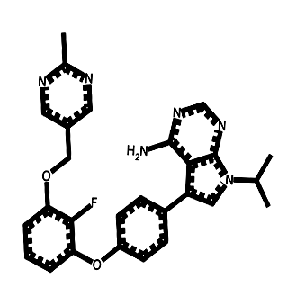 Cc1ncc(COc2cccc(Oc3ccc(-c4cn(C(C)C)c5ncnc(N)c45)cc3)c2F)cn1